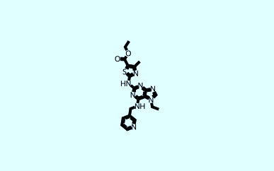 CCOC(=O)c1sc(Nc2nc(NCc3cccnc3)c3c(ncn3CC)n2)nc1C